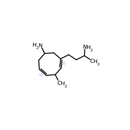 CC1/C=C\CC(N)C/C(CCC(C)N)=C\1